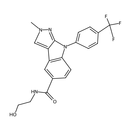 Cn1cc2c3cc(C(=O)NCCO)ccc3n(-c3ccc(C(F)(F)F)cc3)c2n1